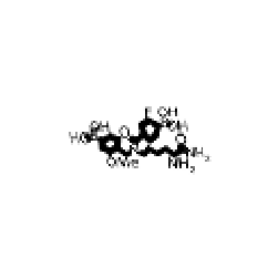 COc1cc(B(O)O)ccc1CN(CCCC[C@H](N)C(N)=O)C(=O)c1ccc(B(O)O)c(F)c1